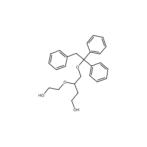 OCCOC(CCO)COC(Cc1ccccc1)(c1ccccc1)c1ccccc1